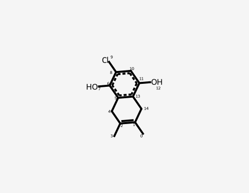 CC1=C(C)Cc2c(O)c(Cl)cc(O)c2C1